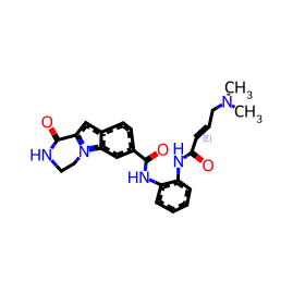 CN(C)C/C=C/C(=O)Nc1ccccc1NC(=O)c1ccc2cc3n(c2c1)CCNC3=O